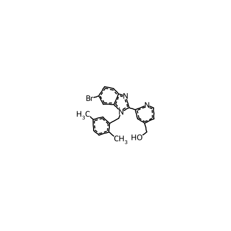 Cc1ccc(C)c(Cn2c(-c3cc(CO)ccn3)nc3ccc(Br)cc32)c1